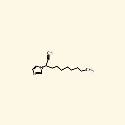 C#CC(CCCCCCCC)n1ccnc1